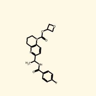 CC(NC(=O)c1ccc(F)cc1)c1ccc2c(n1)CCCN2C(=O)OC1COC1